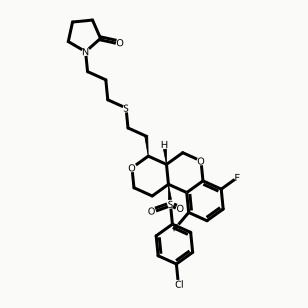 O=C1CCCN1CCCSCC[C@@H]1OCC[C@@]2(S(=O)(=O)c3ccc(Cl)cc3)c3c(F)ccc(F)c3OC[C@@H]12